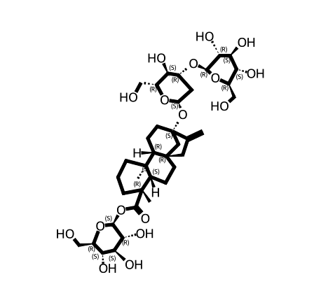 C=C1C[C@@]23CC[C@H]4[C@@](C)(CCC[C@@]4(C)C(=O)O[C@@H]4O[C@H](CO)[C@@H](O)[C@H](O)[C@H]4O)[C@@H]2CC[C@]1(O[C@H]1C[C@@H](O[C@@H]2O[C@H](CO)[C@@H](O)[C@H](O)[C@H]2O)[C@H](O)[C@@H](CO)O1)C3